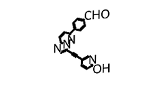 O=Cc1ccc(-c2ccc3ncc(C#Cc4ccc(O)nc4)n3n2)cc1